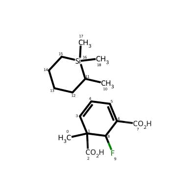 CC1(C(=O)O)C=CC=C(C(=O)O)C1F.CC1CCCC[Si]1(C)C